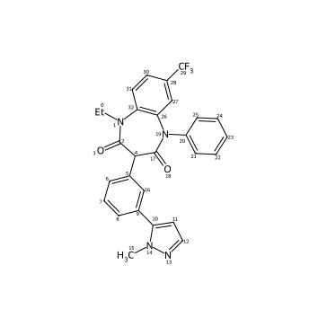 CCN1C(=O)C(c2cccc(-c3ccnn3C)c2)C(=O)N(c2ccccc2)c2cc(C(F)(F)F)ccc21